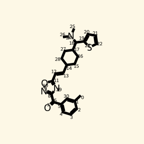 Cc1cccc(C(=O)c2noc(C=CC3CCC(C(c4cccs4)N(C)C)CC3)n2)c1